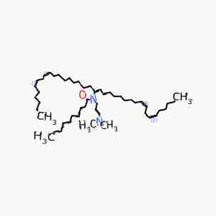 CCCCC/C=C\C/C=C\CCCCCCCCC(CCCCCCCC/C=C\C/C=C\CCCCC)N(CCCN(C)C)C(=O)CCCCCCCCC